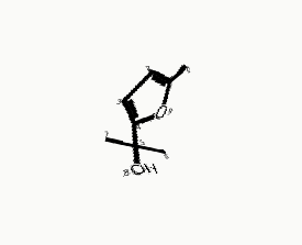 Cc1ccc(C(C)(C)O)o1